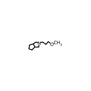 COCCCN1CC2CCCC2C1